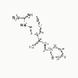 N=C(N)NCCC(N=C=O)C(=O)OCc1ccccc1